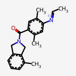 C/C=N/c1cc(C)c(C(=O)N2Cc3cccc(C)c3C2)cc1C